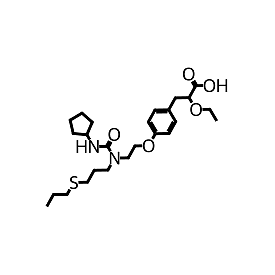 CCCSCCCN(CCOc1ccc(CC(OCC)C(=O)O)cc1)C(=O)NC1CCCC1